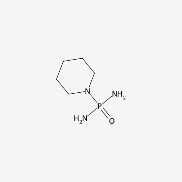 NP(N)(=O)N1CCCCC1